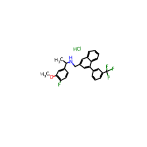 COc1cc(C(C)NCc2cc(-c3cccc(C(F)(F)F)c3)c3ccccc3c2)ccc1F.Cl